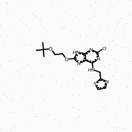 CC(C)(C)OCCOc1nc2c(NCc3nccs3)nc(Cl)nc2[nH]1